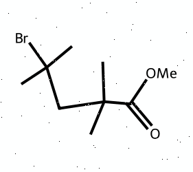 COC(=O)C(C)(C)CC(C)(C)Br